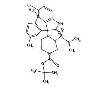 COc1ccc(C)cc1C1(N2CCN(C(=O)OC(C)(C)C)CC2C(=O)N(C)C)C(=O)Nc2ccc(Cl)cc21